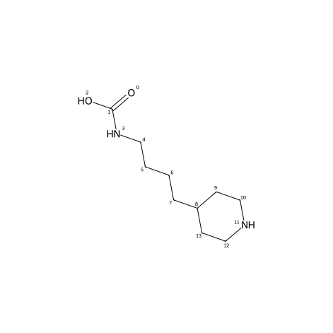 O=C(O)NCCCCC1CCNCC1